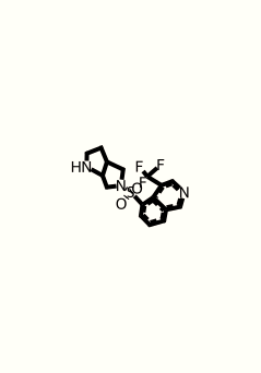 O=S(=O)(c1cccc2cncc(C(F)(F)F)c12)N1CC2CCNC2C1